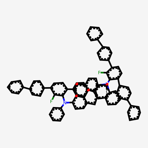 Fc1c(-c2ccc(-c3ccccc3)cc2)ccc(-c2ccc(-c3ccccc3)cc2)c1N(c1ccccc1)c1ccc2ccc3c(N(c4ccccc4)c4c(-c5ccc(-c6ccccc6)cc5)ccc(-c5ccc(-c6ccccc6)cc5)c4F)ccc4ccc1c2c43